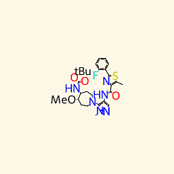 CO[C@H]1CCN(c2c(NC(=O)c3nc(-c4ccccc4F)sc3C)cnn2C)CC[C@H]1NC(=O)OC(C)(C)C